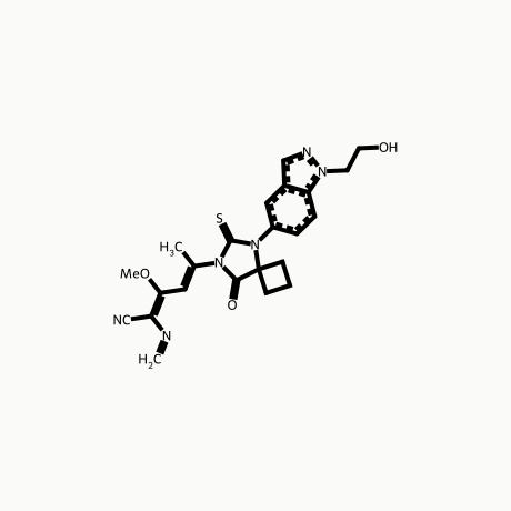 C=N/C(C#N)=C(\C=C(/C)N1C(=O)C2(CCC2)N(c2ccc3c(cnn3CCO)c2)C1=S)OC